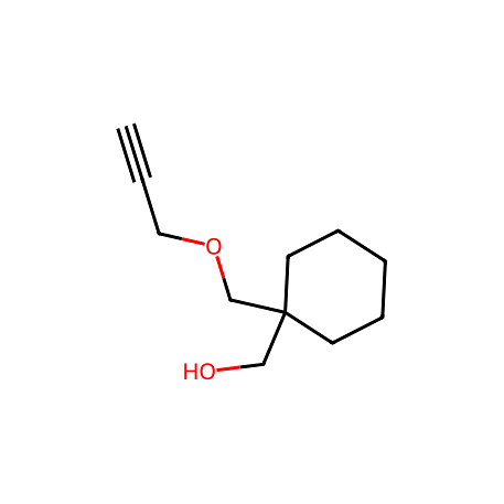 C#CCOCC1(CO)CCCCC1